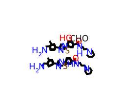 Cc1cc(-c2cn3c(n2)sc2cc(C(=O)NCCCN4CCCCC4)ccc23)ccc1CN.Cc1cc(-c2cn3c(n2)sc2cc(C(=O)NCCCN4CCCCC4)ccc23)ccc1CN.O=CO